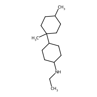 CCNC1CCC(C2(C)CCC(C)CC2)CC1